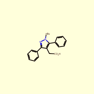 CCCCn1nc(-c2ccccc2)c(CC(=O)O)c1-c1ccccc1